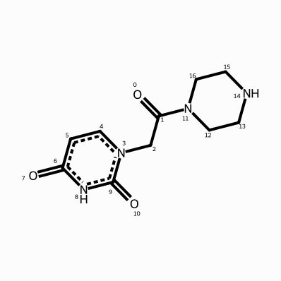 O=C(Cn1ccc(=O)[nH]c1=O)N1CCNCC1